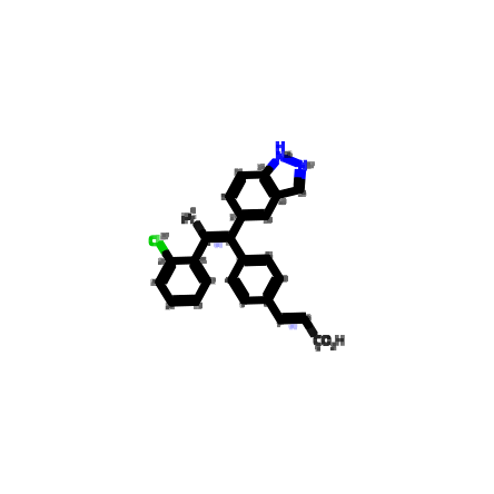 CC(C)/C(=C(/c1ccc(/C=C/C(=O)O)cc1)c1ccc2[nH]ncc2c1)c1ccccc1Cl